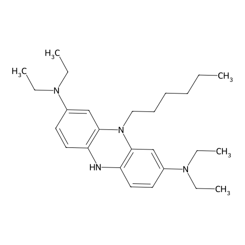 CCCCCCN1c2cc(N(CC)CC)ccc2Nc2ccc(N(CC)CC)cc21